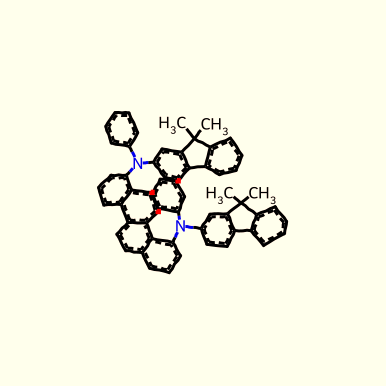 CC1(C)c2ccccc2-c2ccc(N(c3ccccc3)c3cccc4c3ccc3c4ccc4cccc(N(c5ccccc5)c5ccc6c(c5)C(C)(C)c5ccccc5-6)c43)cc21